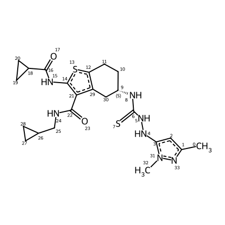 Cc1cc(NNC(=S)N[C@H]2CCc3sc(NC(=O)C4CC4)c(C(=O)NCC4CC4)c3C2)n(C)n1